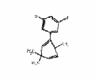 CC1C=CC(C)(C)C=C1c1cc(F)cc(Br)c1